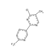 Cc1cnc(-c2ccc(C(F)(F)F)nc2)nc1Cl